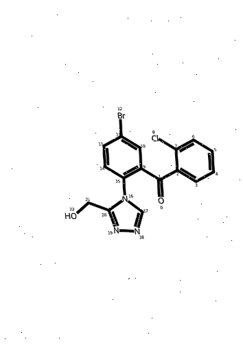 O=C(c1ccccc1Cl)c1cc(Br)ccc1-n1cnnc1CO